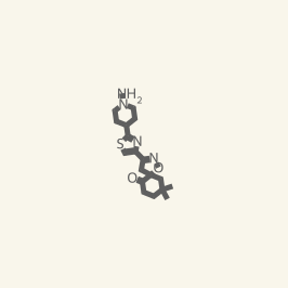 CC1(C)CCC(=O)C2(CC(c3csc(C4CCN(N)CC4)n3)=NO2)C1